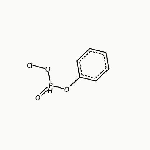 O=[PH](OCl)Oc1ccccc1